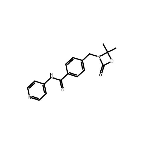 CC1(C)OC(=O)N1Cc1ccc(C(=O)Nc2ccncc2)cc1